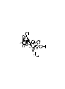 CCCCC(OC(=O)c1c2c3oc1cc3OC2=O)C(F)(F)C(=O)O